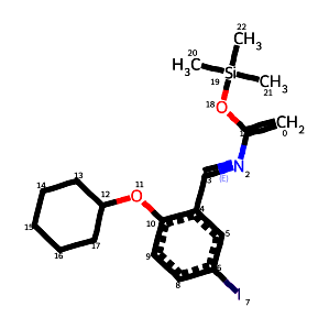 C=C(/N=C/c1cc(I)ccc1OC1CCCCC1)O[Si](C)(C)C